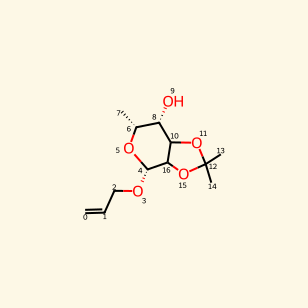 C=CCO[C@@H]1O[C@H](C)[C@H](O)C2OC(C)(C)OC21